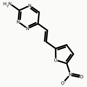 Nc1ncc(/C=C/c2ccc([N+](=O)[O-])o2)nn1